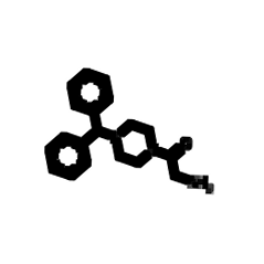 NCC(=O)N1CCN(C(c2ccccc2)c2ccccc2)CC1